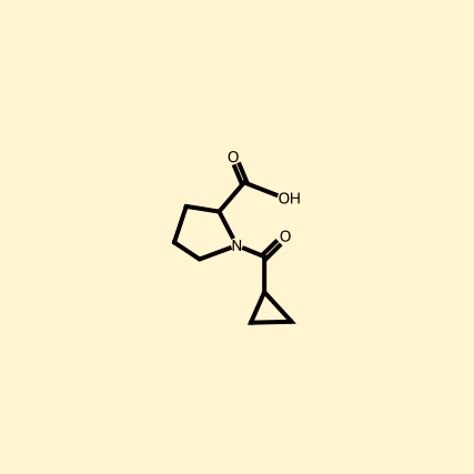 O=C(O)C1CCCN1C(=O)C1CC1